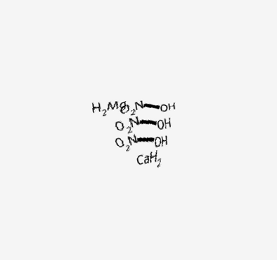 O=[N+]([O-])O.O=[N+]([O-])O.O=[N+]([O-])O.[CaH2].[MgH2]